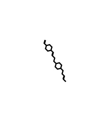 C=CC1CCC(C=CCCC2CCC(CCC=CC)CC2)CC1